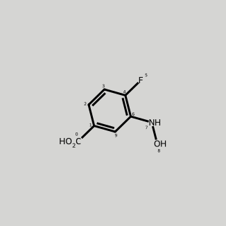 O=C(O)c1ccc(F)c(NO)c1